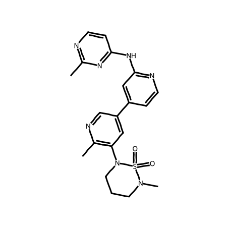 Cc1nccc(Nc2cc(-c3cnc(C)c(N4CCCN(C)S4(=O)=O)c3)ccn2)n1